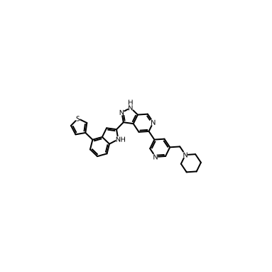 c1cc(-c2ccsc2)c2cc(-c3n[nH]c4cnc(-c5cncc(CN6CCCCC6)c5)cc34)[nH]c2c1